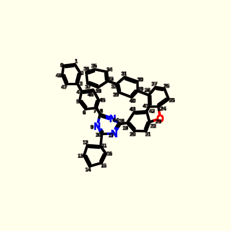 c1ccc(-c2ccc(-c3nc(-c4ccccc4)nc(-c4ccc5oc6cccc(-c7ccc(-c8ccccc8)cc7)c6c5c4)n3)cc2)cc1